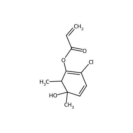 C=CC(=O)OC1=C(Cl)C=CC(C)(O)C1C